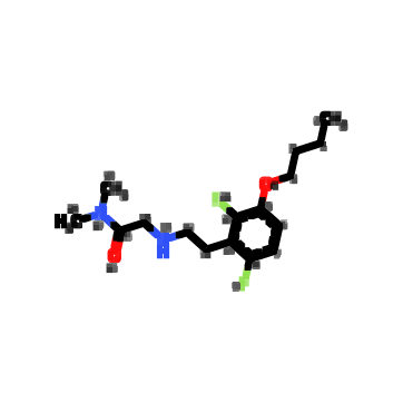 CCCCOc1ccc(F)c(CCNCC(=O)N(C)C)c1F